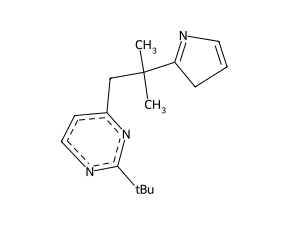 CC(C)(Cc1ccnc(C(C)(C)C)n1)C1=NC=CC1